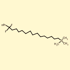 CCCC(F)(F)CCCCCCCCCCCCCC[Si](C)(C)C